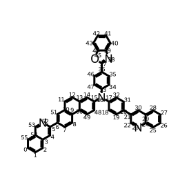 c1ccc2cc(-c3ccc4c(ccc5cc(N(c6ccc(-c7cnc8ccccc8c7)cc6)c6ccc(-c7nc8ccccc8o7)cc6)ccc54)c3)ncc2c1